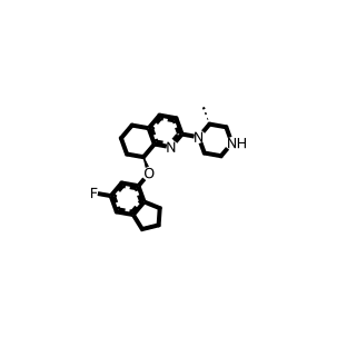 C[C@@H]1CNCCN1c1ccc2c(n1)[C@@H](Oc1cc(F)cc3c1CCC3)CCC2